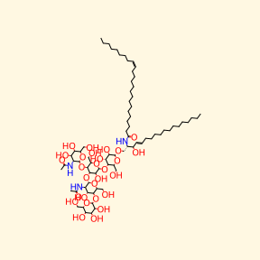 CCCCCCCC/C=C\CCCCCCCCCCCCCC(=O)N[C@@H](CO[C@@H]1OC(CO)[C@@H](O[C@@H]2OC(CO)[C@H](O[C@@H]3OC(CO)[C@H](O)[C@H](O)C3NC(C)=O)[C@H](O[C@@H]3OC(CO)[C@@H](O[C@@H]4OC(CO)[C@H](O)[C@H](O)C4O)[C@H](O)C3NC(C)=O)C2O)[C@H](O)C1O)[C@H](O)/C=C/CCCCCCCCCCCCC